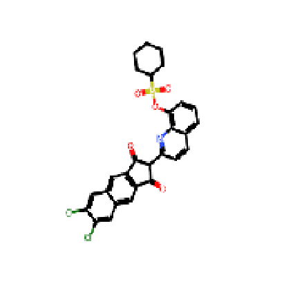 O=C1c2cc3cc(Cl)c(Cl)cc3cc2C(=O)C1c1ccc2cccc(OS(=O)(=O)C3CCCCC3)c2n1